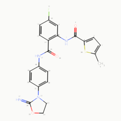 Cc1ccc(C(=O)Nc2cc(F)ccc2C(=O)Nc2ccc(N3CCOC3=N)cc2)s1